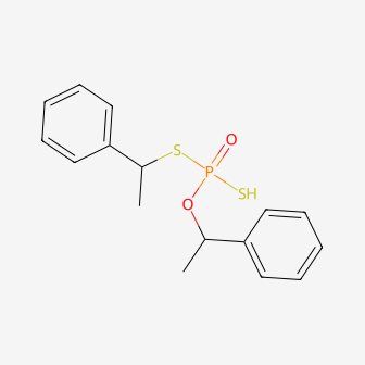 CC(OP(=O)(S)SC(C)c1ccccc1)c1ccccc1